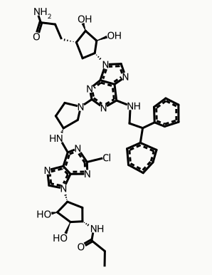 CCC(=O)N[C@H]1C[C@@H](n2cnc3c(N[C@@H]4CCN(c5nc(NCC(c6ccccc6)c6ccccc6)c6ncn([C@@H]7C[C@H](CCC(N)=O)[C@@H](O)[C@H]7O)c6n5)C4)nc(Cl)nc32)[C@H](O)[C@@H]1O